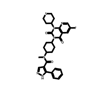 CN(C(=O)c1cn[nH]c1-c1ccccc1)C1CCC(n2c(=O)c3cc(F)cnc3n(C3CCSCC3)c2=O)CC1